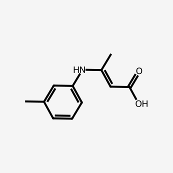 CC(=CC(=O)O)Nc1cccc(C)c1